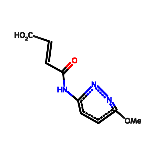 COc1ccc(NC(=O)C=CC(=O)O)nn1